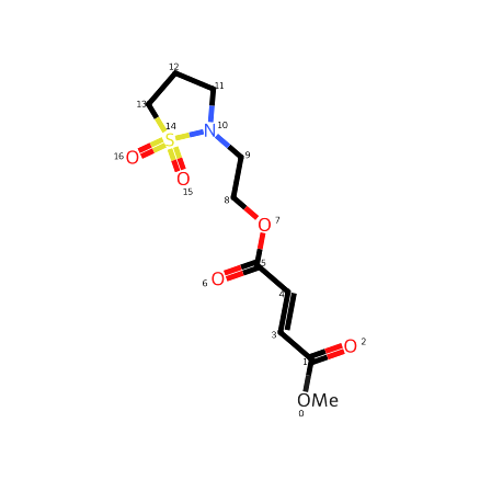 COC(=O)C=CC(=O)OCCN1CCCS1(=O)=O